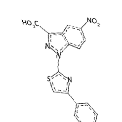 O=C(O)c1nn(-c2nc(-c3ccccc3)cs2)c2ccc([N+](=O)[O-])cc12